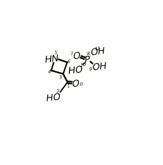 O=C(O)C1CNC1.O=P(O)(O)O